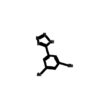 CC(=O)c1cc(-c2nnn[nH]2)cc(C(C)(C)C)c1